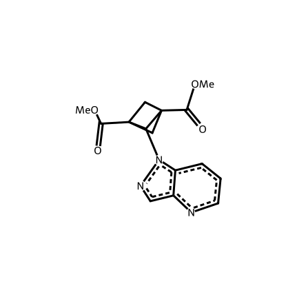 COC(=O)C12CC(C(=O)OC)(C1)C2n1ncc2ncccc21